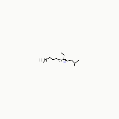 CC/C(=C\CC(C)C)OCCCN